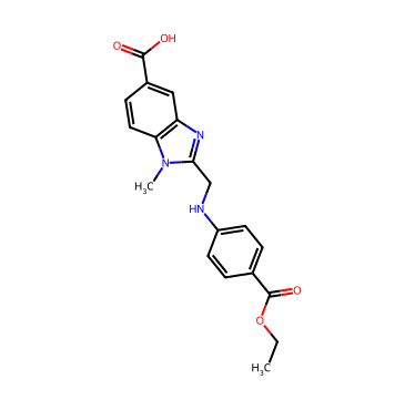 CCOC(=O)c1ccc(NCc2nc3cc(C(=O)O)ccc3n2C)cc1